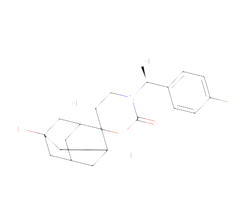 C[C@@H](c1ccc(Br)cc1)N1CCC2(OC1=O)[C@H]1CC3C[C@H]2CC(O)(C3)C1